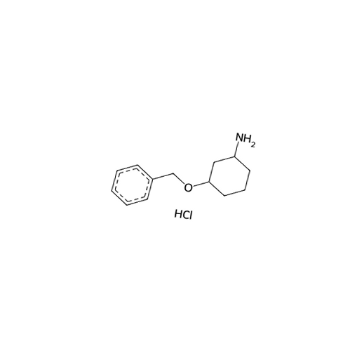 Cl.NC1CCCC(OCc2ccccc2)C1